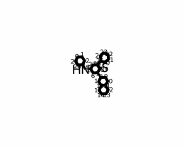 c1ccc(Nc2cc(-c3ccc4ccccc4c3)c3sc4ccccc4c3c2)cc1